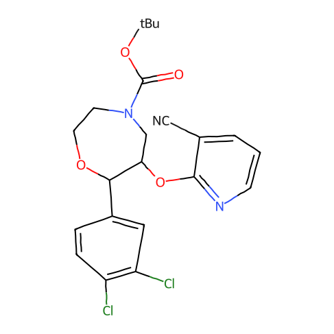 CC(C)(C)OC(=O)N1CCOC(c2ccc(Cl)c(Cl)c2)C(Oc2ncccc2C#N)C1